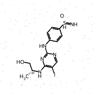 C[C@H](CO)Nc1nc(Nc2ccc([SH](=N)=O)cc2)ncc1I